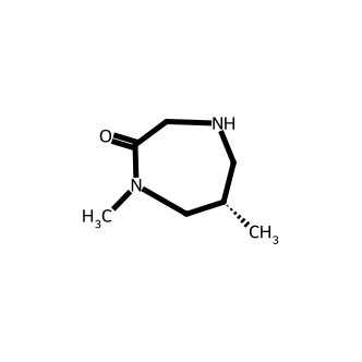 C[C@H]1CNCC(=O)N(C)C1